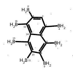 Bc1cc(B)c2c(B)c(B)c(B)c(B)c2c1B